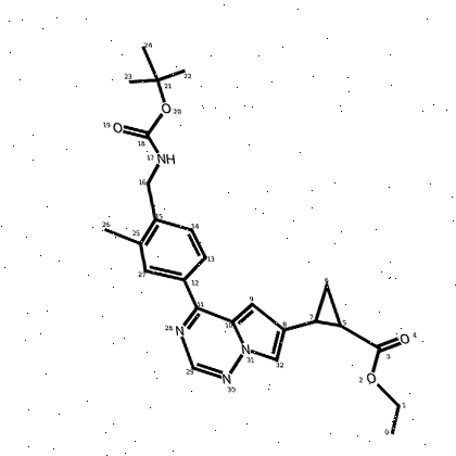 CCOC(=O)C1CC1c1cc2c(-c3ccc(CNC(=O)OC(C)(C)C)c(C)c3)ncnn2c1